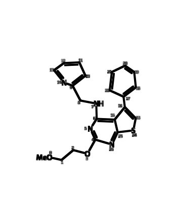 COCCOc1nc(NCc2ccccn2)c2c(-c3ccccc3)csc2n1